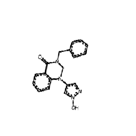 O=C1c2ccccc2N(c2cnn(O)c2)CN1Cc1ccccc1